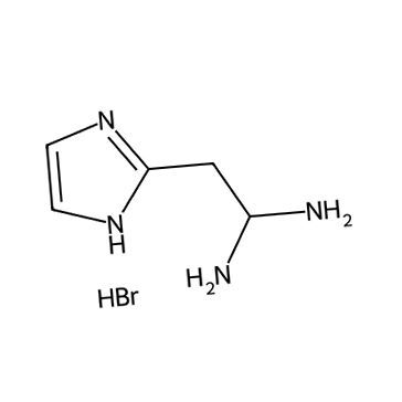 Br.NC(N)Cc1ncc[nH]1